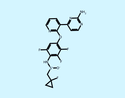 Nc1nccc(-c2cccnc2Oc2cc(F)c(N[S+]([O-])CC3(F)CC3)c(F)c2F)n1